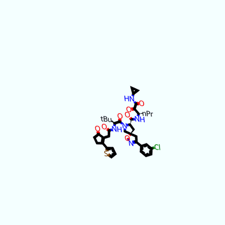 CCC[C@H](NC(=O)[C@@H]1C[C@]2(CC(c3cccc(Cl)c3)=NO2)CN1C(=O)[C@@H](NC(=O)CC1=C(c2cccs2)CCC1=O)C(C)(C)C)C(=O)C(=O)NC1CC1